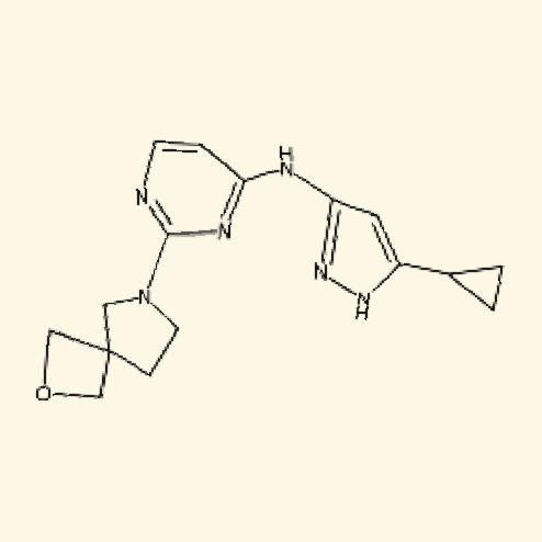 c1cc(Nc2cc(C3CC3)[nH]n2)nc(N2CCC3(COC3)C2)n1